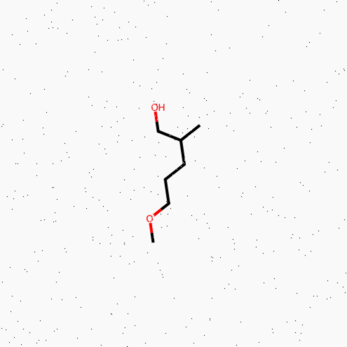 COCCCC(C)CO